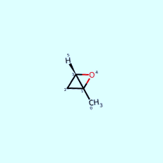 CC12C[C@@H]1O2